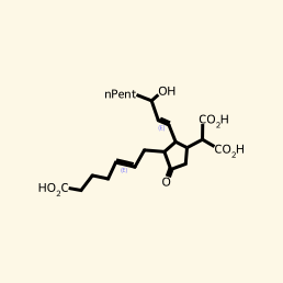 CCCCCC(O)/C=C/C1C(C/C=C/CCCC(=O)O)C(=O)CC1C(C(=O)O)C(=O)O